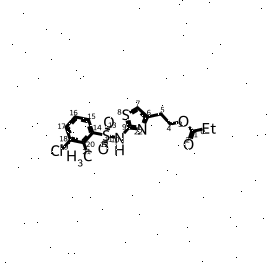 CCC(=O)OCCc1csc(NS(=O)(=O)c2cccc(Cl)c2C)n1